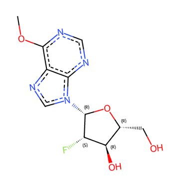 COc1ncnc2c1ncn2[C@@H]1O[C@H](CO)[C@@H](O)[C@@H]1F